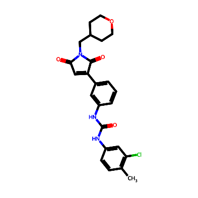 Cc1ccc(NC(=O)Nc2cccc(C3=CC(=O)N(CC4CCOCC4)C3=O)c2)cc1Cl